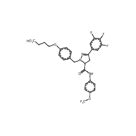 O=C(O)CCCOc1ccc(CN2N=C(c3cc(F)c(F)c(F)c3)CC2C(=O)Nc2ccc(OC(F)(F)F)cc2)cc1